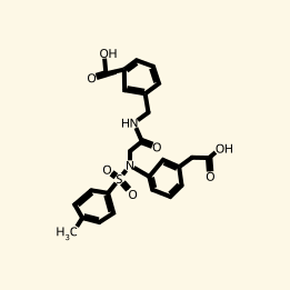 Cc1ccc(S(=O)(=O)N(CC(=O)NCc2cccc(C(=O)O)c2)c2cccc(CC(=O)O)c2)cc1